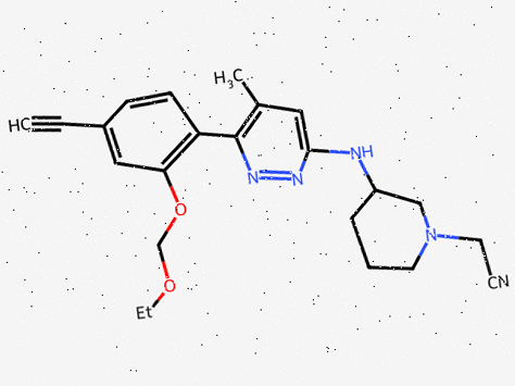 C#Cc1ccc(-c2nnc(NC3CCCN(CC#N)C3)cc2C)c(OCOCC)c1